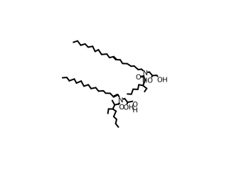 CCCCCCCCCCCC=CCCCCCCCN(CC(O)CO)C(=O)CC(CC)CCCCC.CCCCCCCCCCCCCCC=CN(CC(O)CO)C(=O)C(C)C(CC)CCCCC